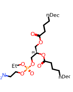 CCCCCCCCCCCCCC(=O)OC[C@H](COP(=O)(OCC)OCCN)OC(=O)CCCCCCCCCCCCC